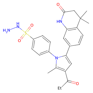 CCC(=O)c1cc(-c2ccc3c(c2)NC(=O)CC3(C)C)n(-c2ccc(S(=O)(=O)NN)cc2)c1C